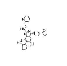 C=CC(=O)N1CCN(c2nc(NCCc3ccccn3)nc3c(F)c(-c4c(O)cccc4F)c(Cl)cc23)CC1